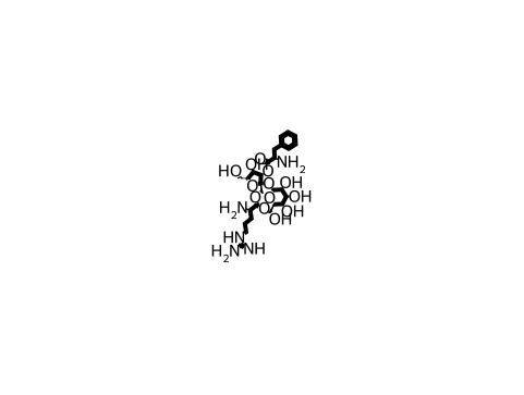 N=C(N)NCCC[C@H](N)C(=O)OC[C@@]1(O[C@H]2O[C@H](CO)[C@@H](O)[C@H](O)[C@H]2O)O[C@H](CO)[C@@H](O)[C@@H]1OC(=O)[C@@H](N)Cc1ccccc1